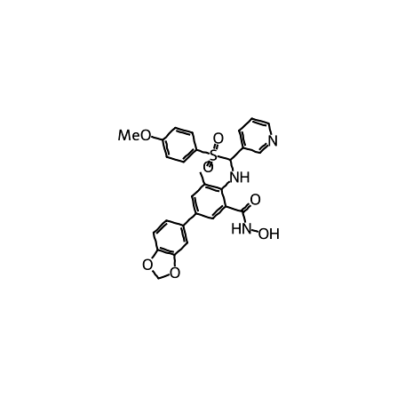 COc1ccc(S(=O)(=O)C(Nc2c(C)cc(-c3ccc4c(c3)OCO4)cc2C(=O)NO)c2cccnc2)cc1